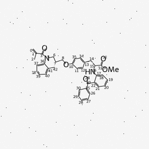 C=C(C)C(=O)N(CCCOc1ccc(CC(Nc2ccccc2C(=O)c2ccccc2)C(=O)OC)cc1)c1ccccc1C